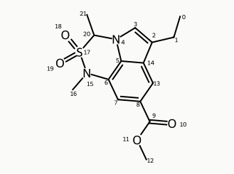 CCc1cn2c3c(cc(C(=O)OC)cc13)N(C)S(=O)(=O)C2C